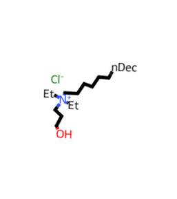 CCCCCCCCCCCCCCCC[N+](CC)(CC)CCCO.[Cl-]